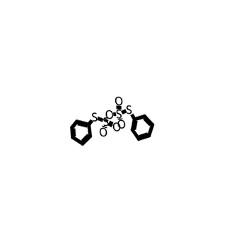 O=S(=O)(OS(=O)(=O)Sc1ccccc1)Sc1ccccc1